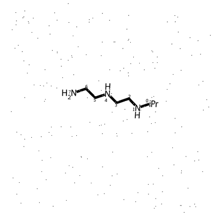 CC(C)NCCNCCN